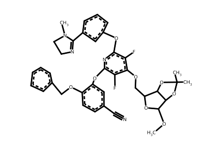 COC1OC(COc2c(F)c(Oc3cccc(C4=NCCN4C)c3)nc(Oc3cc(C#N)ccc3OCc3ccccc3)c2F)C2OC(C)(C)OC12